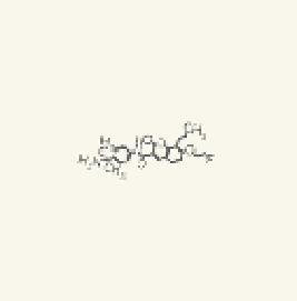 CCCc1c(OCCF)ccc2cc(C(=O)Nc3ccc(C(C)(C)N)cc3)c(=O)oc12